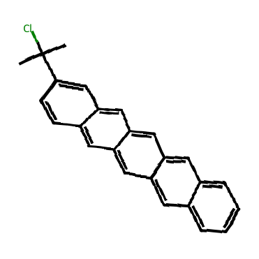 CC(C)(Cl)c1ccc2cc3cc4cc5ccccc5cc4cc3cc2c1